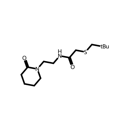 CC(C)(C)CSCC(=O)NCCN1CCCCC1=O